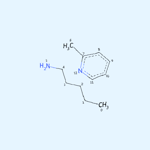 CCCCCN.Cc1ccccn1